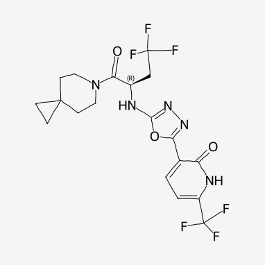 O=C([C@@H](CC(F)(F)F)Nc1nnc(-c2ccc(C(F)(F)F)[nH]c2=O)o1)N1CCC2(CC1)CC2